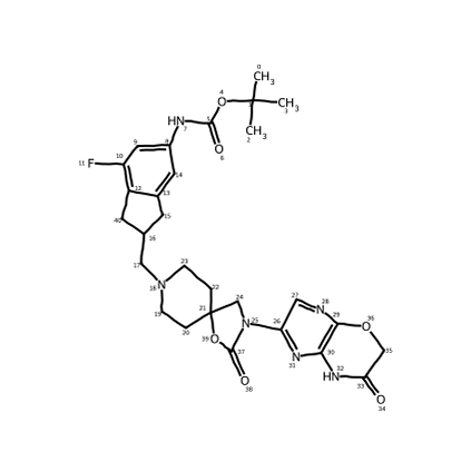 CC(C)(C)OC(=O)Nc1cc(F)c2c(c1)CC(CN1CCC3(CC1)CN(c1cnc4c(n1)NC(=O)CO4)C(=O)O3)C2